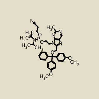 COc1ccc(C(OCc2nc3cnc(C)nc3n2CCOP(OCCC#N)N(C(C)C)C(C)C)(c2ccccc2)c2ccc(OC)cc2)cc1